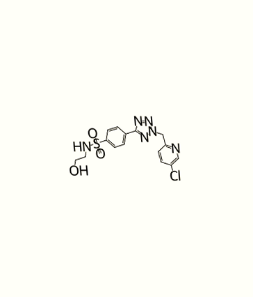 O=S(=O)(NCCO)c1ccc(-c2nnn(Cc3ccc(Cl)cn3)n2)cc1